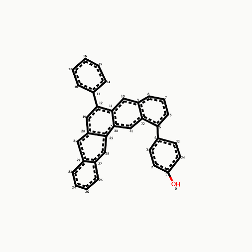 Oc1ccc(-c2cccc3cc4c(-c5ccccc5)cc5cc6ccccc6cc5c4cc23)cc1